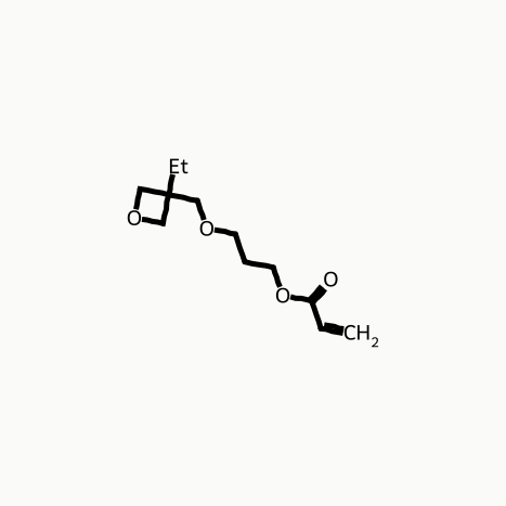 C=CC(=O)OCCCOCC1(CC)COC1